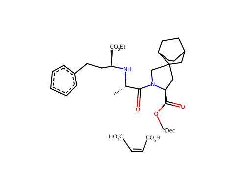 CCCCCCCCCCOC(=O)[C@@H]1CC2(CC3CCC2CC3)CN1C(=O)[C@H](C)N[C@@H](CCc1ccccc1)C(=O)OCC.O=C(O)/C=C\C(=O)O